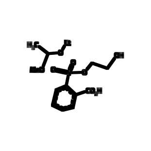 CCOC(C)OC.O=C(O)c1ccccc1S(=O)(=O)OCCO